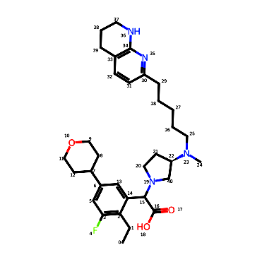 CCc1c(F)cc(C2CCOCC2)cc1C(C(=O)O)N1CC[C@@H](N(C)CCCCCc2ccc3c(n2)NCCC3)C1